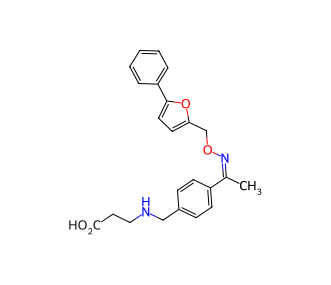 CC(=NOCc1ccc(-c2ccccc2)o1)c1ccc(CNCCC(=O)O)cc1